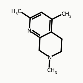 Cc1cc(C)c2c(n1)CN(C)CC2